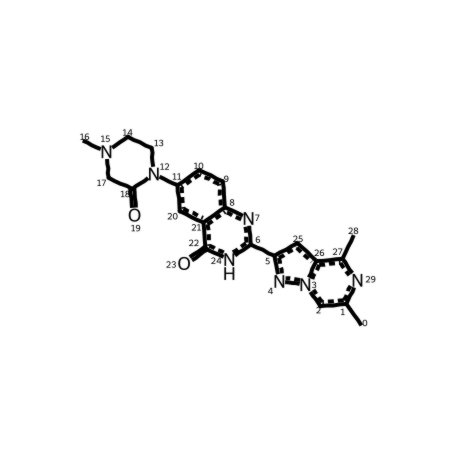 Cc1cn2nc(-c3nc4ccc(N5CCN(C)CC5=O)cc4c(=O)[nH]3)cc2c(C)n1